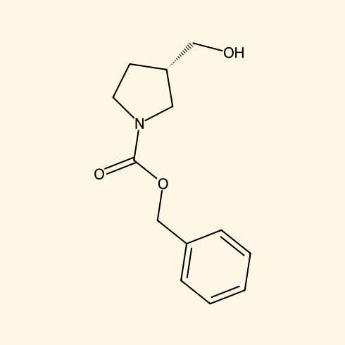 O=C(OCc1ccccc1)N1CC[C@H](CO)C1